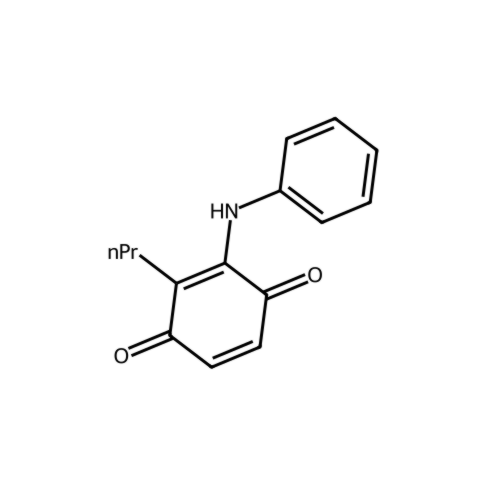 CCCC1=C(Nc2ccccc2)C(=O)C=CC1=O